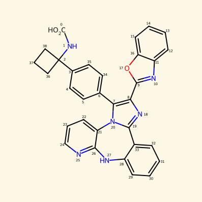 O=C(O)NC1(c2ccc(-c3c(-c4nc5ccccc5o4)nc4n3-c3cccnc3Nc3ccccc3-4)cc2)CCC1